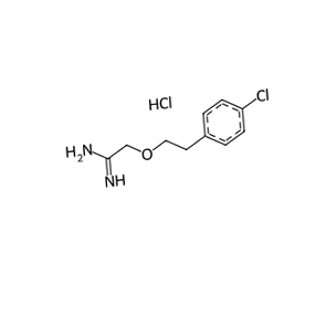 Cl.N=C(N)COCCc1ccc(Cl)cc1